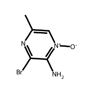 Cc1c[n+]([O-])c(N)c(Br)n1